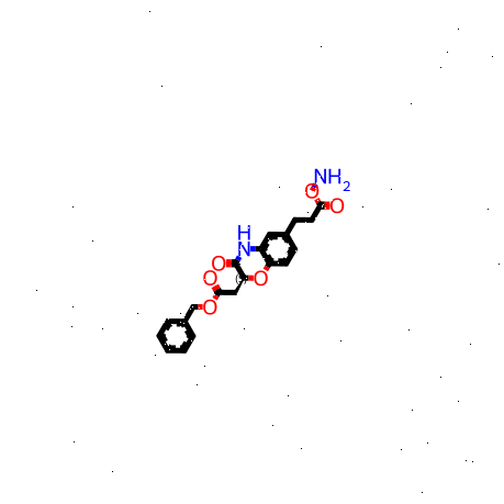 NOC(=O)CCc1ccc2c(c1)NC(=O)[C@H](CC(=O)OCc1ccccc1)O2